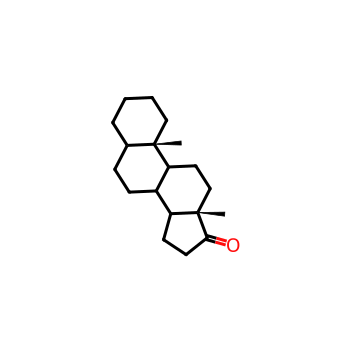 C[C@]12CCCCC1CCC1C2CC[C@]2(C)C(=O)CCC12